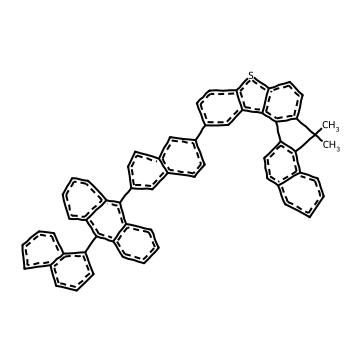 CC1(C)c2ccc3sc4ccc(-c5ccc6cc(-c7c8ccccc8c(-c8cccc9ccccc89)c8ccccc78)ccc6c5)cc4c3c2-c2ccc3ccccc3c21